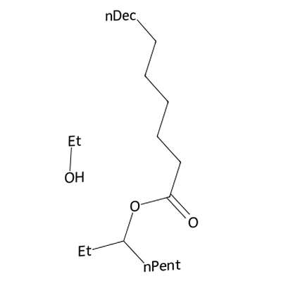 CCCCCCCCCCCCCCCC(=O)OC(CC)CCCCC.CCO